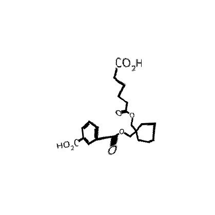 O=C(O)CCCCC(=O)OCC1(COC(=O)c2cccc(C(=O)O)c2)CCCCC1